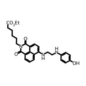 CCOC(=O)CCCCCN1C(=O)c2cccc3c(NCCNc4ccc(O)cc4)ccc(c23)C1=O